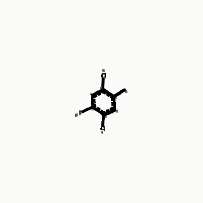 Cc1cc(Cl)c(F)cc1Cl